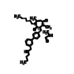 CCCCCCN1C(=O)[C@H](Cc2ccc(-c3cccc(CNCCCC)c3)cc2)N(C)C(=O)C=C1C.CNC=O